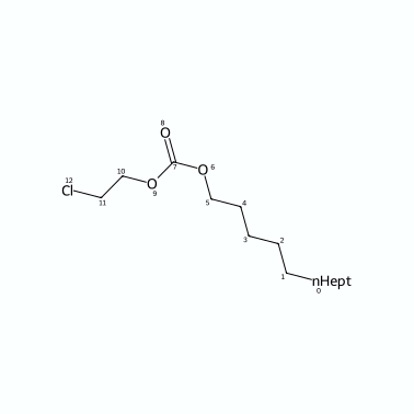 CCCCCCCCCCCCOC(=O)OCCCl